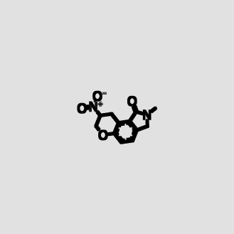 CN1Cc2ccc3c(c2C1=O)CC([N+](=O)[O-])CO3